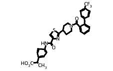 CC(C(=O)O)c1ccc(NC(=O)c2csc(C3CCN(C(=O)c4ccccc4-c4ccc(C(F)(F)F)cc4)CC3)n2)cc1